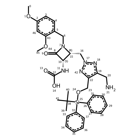 COc1ccc(CN2C(=O)[C@@H](NC(=O)O)[C@H]2Cn2nc(CN)c(CO[Si](c3ccccc3)(c3ccccc3)C(C)(C)C)n2)c(OC)c1